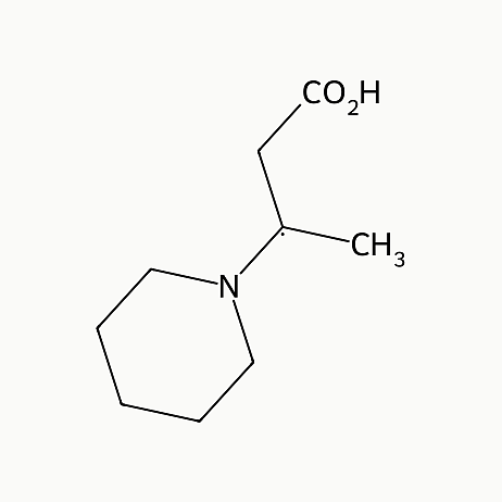 C[C](CC(=O)O)N1CCCCC1